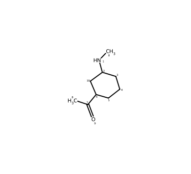 CNC1CCCC(C(C)=O)C1